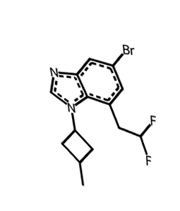 CC1CC(n2cnc3cc(Br)cc(CC(F)F)c32)C1